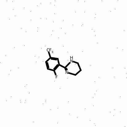 Fc1ccc(C(F)(F)F)cc1C1=NCCCN1